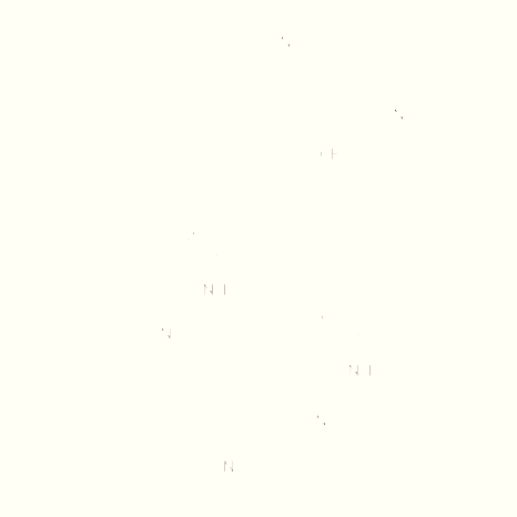 Cc1cc(-c2ccc(CC(=O)Nc3ccc(-c4ccccn4)cn3)cc2)ccn1.Cc1cc(-c2ccc(CC(=O)Nc3nc(-c4ccccc4)cs3)cc2C(F)(F)F)ccn1